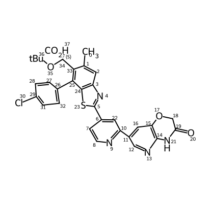 Cc1cc2nc(-c3ccnc(-c4cnc5c(c4)OCC(=O)N5)c3)sc2c(-c2ccc(Cl)cc2)c1[C@H](OC(C)(C)C)C(=O)O